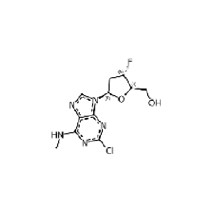 CNc1nc(Cl)nc2c1ncn2[C@H]1C[C@H](F)[C@@H](CO)O1